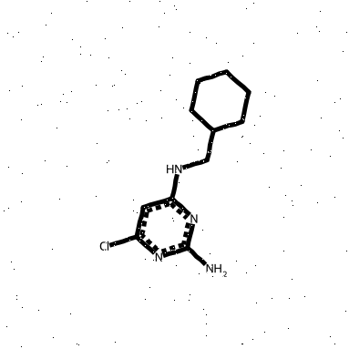 Nc1nc(Cl)cc(NCC2CCCCC2)n1